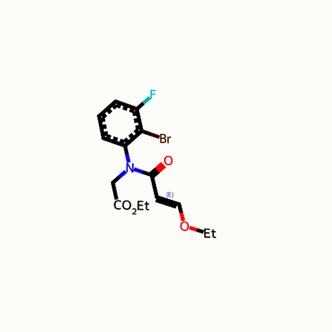 CCO/C=C/C(=O)N(CC(=O)OCC)c1cccc(F)c1Br